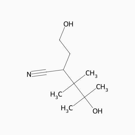 CC(C)(O)C(C)(C)C(C#N)CCO